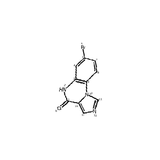 O=c1[nH]c2cc(Br)ccc2n2cncc12